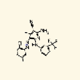 Cc1ccc(Cl)c(/N=N/c2c(Nc3cccc(C(F)(F)F)c3)nc(N)c(C#N)c2C)c1